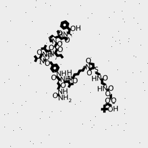 CC[C@H](C)[C@@H]([C@@H](CC(=O)N1CCC[C@H]1[C@H](OC)[C@@H](C)C(=O)N[C@H](C)[C@@H](O)c1ccccc1)OC)N(C)C(=O)[C@@H](NC(=O)[C@H](C(C)C)N(C)C(=O)OCc1ccc(NC(=O)[C@H](CCCNC(N)=O)NC(=O)[C@@H](NC(=O)CCCCCN2C(=O)CC(SCCNC(=O)CCNC(=O)OCC(OC)OC(CO)CC(C)(C)C)C2=O)C(C)C)cc1)C(C)C